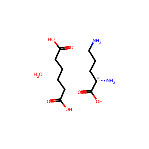 NCCC[C@H](N)C(=O)O.O.O=C(O)CCCCC(=O)O